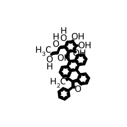 C=Cc1c(-c2ccccc2)oc2cccc(-c3c4ccccc4c(\C=c4/c(O)c(O)c(O)c(O)/c4=C(O)/C(O)=C(\C)O)c4ccccc34)c12